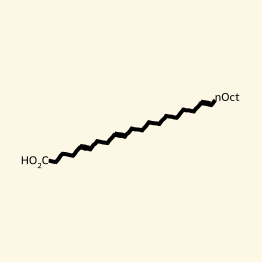 CCCCCCCC/C=C/CCCCCCCC/C=C/CC/C=C/CCCC(=O)O